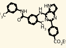 CCOC(=O)c1ccc(-c2nc(Nc3cc(C(=O)Nc4cccc(C(F)(F)F)c4)ccc3C)c3[nH]ccc3n2)cc1